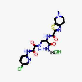 CN1CCc2nc(C(=O)NC(CNC(=O)C(=O)Nc3ccc(Cl)cn3)C(=O)NC(C)(C)C)sc2C1.Cl